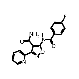 NC(=O)c1c(-c2ccccn2)noc1NC(=O)c1ccc(F)cc1